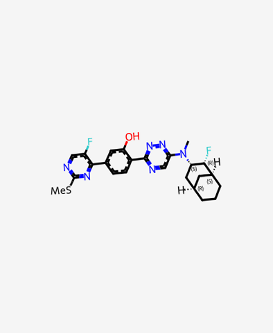 CSc1ncc(F)c(-c2ccc(-c3ncc(N(C)[C@H]4C[C@@H]5CCC[C@@H](C5)[C@H]4F)nn3)c(O)c2)n1